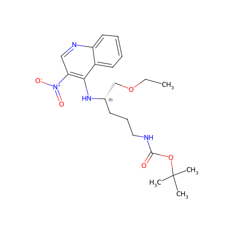 CCOC[C@H](CCCNC(=O)OC(C)(C)C)Nc1c([N+](=O)[O-])cnc2ccccc12